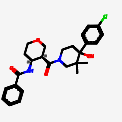 CC1(C)CN(C(=O)[C@@H]2COCC[C@@H]2NC(=O)c2ccccc2)CCC1(O)c1ccc(Cl)cc1